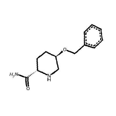 NC(=O)[C@@H]1CC[C@@H](OCc2ccccc2)CN1